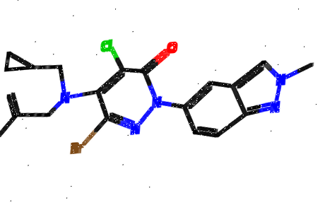 C=C(C)CN(CC1CC1)c1c(Br)nn(-c2ccc3nn(C)cc3c2)c(=O)c1Cl